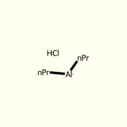 CC[CH2][Al][CH2]CC.Cl